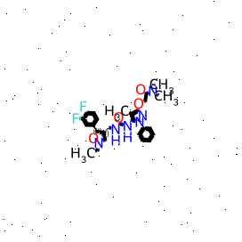 CCN1C[C@@H](CNC(=O)Nc2c(C)c(OCC(=O)N(C)C)nn2-c2ccccc2)[C@H](c2ccc(F)c(F)c2)O1